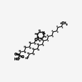 CCCCCCCCCCCCCCCF.CCCCCCCS(=O)(=O)O.c1ccncc1